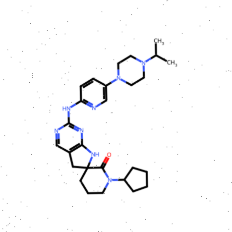 CC(C)N1CCN(c2ccc(Nc3ncc4c(n3)NC3(CCCN(C5CCCC5)C3=O)C4)nc2)CC1